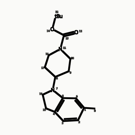 Cc1ccc2c(c1)N(C1CCN(C(=O)OC(C)(C)C)CC1)CC2